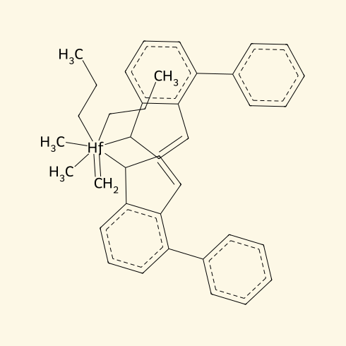 [CH2]=[Hf]([CH3])([CH3])([CH2]CC)([CH2]CC)([CH]1C=Cc2c(-c3ccccc3)cccc21)[CH]1C=Cc2c(-c3ccccc3)cccc21